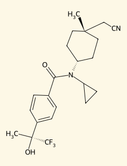 C[C@](O)(c1ccc(C(=O)N(C2CC2)[C@H]2CC[C@@](C)(CC#N)CC2)cc1)C(F)(F)F